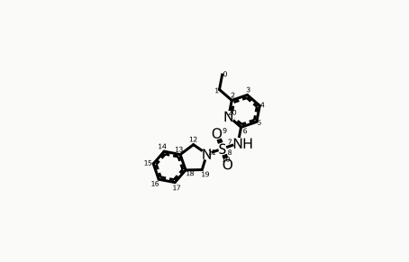 CCc1cccc(NS(=O)(=O)N2Cc3ccccc3C2)n1